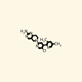 Cc1cnc(-c2cc(N3CCc4nc(N)ncc4C3)ncc2Cl)c(C)c1